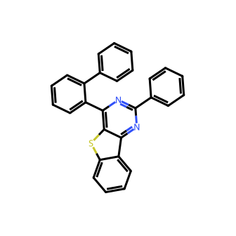 c1ccc(-c2nc(-c3ccccc3-c3ccccc3)c3sc4ccccc4c3n2)cc1